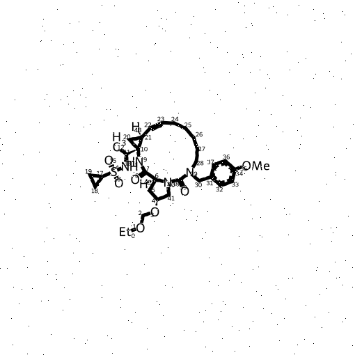 CCOCO[C@@H]1C[C@H]2C(=O)N[C@]3(C(C)NS(=O)(=O)C4CC4)C[C@H]3/C=C\CCCCCN(Cc3ccc(OC)cc3)C(=O)N2C1